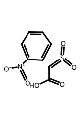 O=C(O)C=S(=O)=O.O=[N+]([O-])c1ccccc1